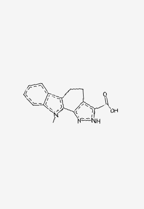 Cn1c2c(c3ccccc31)CCc1c-2n[nH]c1C(=O)O